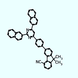 CC1(C)c2ccc(-c3ccc(-c4cc(-c5ccc6ccccc6c5)nc(-c5ccc6ccccc6c5)n4)cc3)cc2-c2c(C#N)cccc21